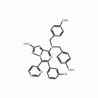 COc1ccc(CN(Cc2ccc(OC)cc2)c2nc(-c3cccc(C#N)c3)c(-c3ccncn3)n3nc(C=O)nc23)cc1